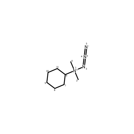 C[N+](C)(N=[N+]=[N-])C1CCCCC1